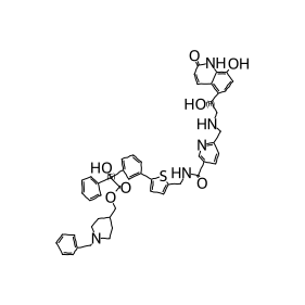 O=C(NCc1ccc(-c2cccc([C@](O)(C(=O)OCC3CCN(Cc4ccccc4)CC3)c3ccccc3)c2)s1)c1ccc(CNC[C@H](O)c2ccc(O)c3[nH]c(=O)ccc23)nc1